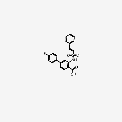 O=C(O)c1ccc(-c2ccc(F)cc2)cc1NS(=O)(=O)C=Cc1ccccc1